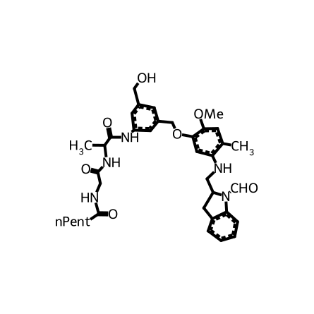 CCCCCC(=O)NCC(=O)NC(C)C(=O)Nc1cc(CO)cc(COc2cc(NCC3Cc4ccccc4N3C=O)c(C)cc2OC)c1